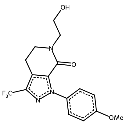 COc1ccc(-n2nc(C(F)(F)F)c3c2C(=O)N(CCO)CC3)cc1